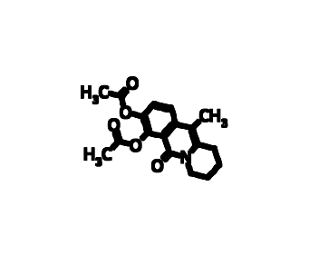 CC(=O)Oc1ccc2c(C)c3n(c(=O)c2c1OC(C)=O)CCCC3